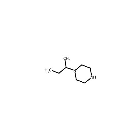 [CH2]CC(C)N1CCNCC1